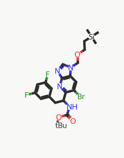 CC(C)(C)OC(=O)NC(Cc1cc(F)cc(F)c1)c1nc2ncn(COCC[Si](C)(C)C)c2cc1Br